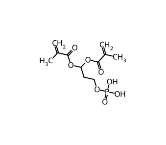 C=C(C)C(=O)OC(CCOP(=O)(O)O)OC(=O)C(=C)C